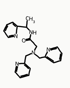 CC(NC(=O)CN(Cc1ccccn1)Cc1ccccn1)c1ccccn1